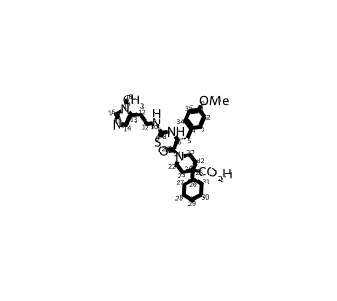 COc1ccc(C[C@@H](NC(=S)NCCc2cncn2C)C(=O)N2CCC(C(=O)O)(C3CCCCC3)CC2)cc1